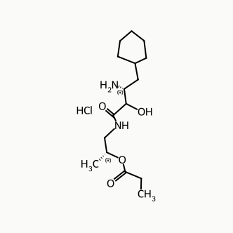 CCC(=O)O[C@H](C)CNC(=O)C(O)[C@H](N)CC1CCCCC1.Cl